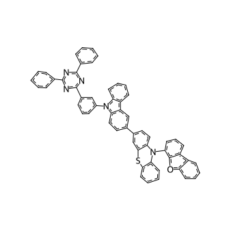 c1ccc(-c2nc(-c3ccccc3)nc(-c3cccc(-n4c5ccccc5c5cc(-c6ccc7c(c6)Sc6ccccc6N7c6cccc7c6oc6ccccc67)ccc54)c3)n2)cc1